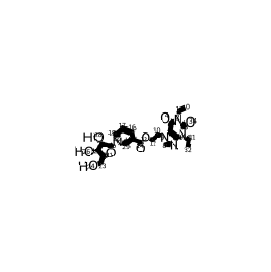 CCn1c(=O)c2c(ncn2CCOC(=O)c2ccc[n+](C3OC(CO)[C@@H](O)[C@H]3O)c2)n(CC)c1=O